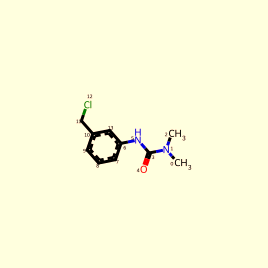 CN(C)C(=O)Nc1cccc(CCl)c1